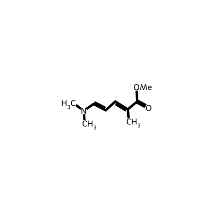 COC(=O)C(C)=CC=CN(C)C